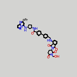 CCCc1cc(N[C@@H]2CC[C@@H](NC(=O)c3ccc(-c4ccc(CNc5cccc6c5C(=O)N(C5CCC(=O)N(CO)C5=O)C6=O)cc4)cc3)C2)n2nccc2n1